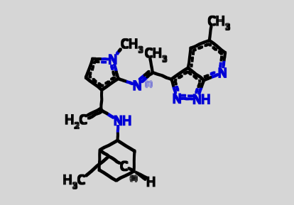 C=C(NC1C[C@@H]2CCC1C(C)C2)c1ccn(C)c1/N=C(\C)c1n[nH]c2ncc(C)cc12